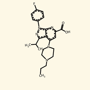 CCCN1CCN(c2cc(C(=O)O)nc3c2c(C(C)C)nn3-c2ccc(F)cc2)CC1